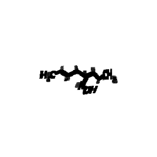 CCCCC(CCC)=NO